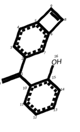 C=C(c1ccc2c(c1)C=C2)c1ccccc1O